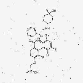 C[C@H](O)COc1ccc(C(N)=O)c(-c2c(Cl)c(F)cc3c2[C@H](C)[C@@](CN[C@H]2CC[C@@](C)(O)CC2)(c2ccccc2)O3)c1F